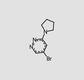 Brc1cnnc(N2CCCC2)c1